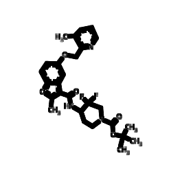 Cc1cccnc1COc1ccc2oc(C)c(C(=O)NC3CCN(C(=O)OC(C)(C)C)CC3(F)F)c2c1